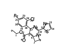 CCOC(=O)C1=C2CCN2C(c2nccs2)=NC1c1ccc(F)cc1Cl